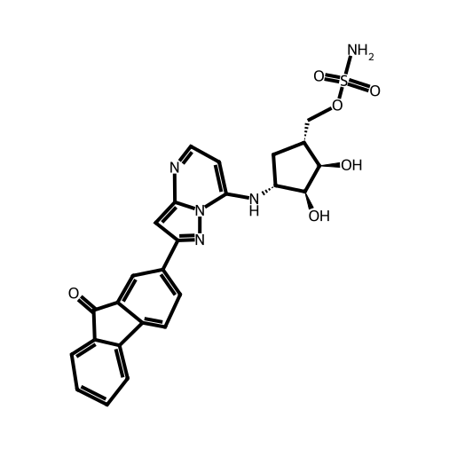 NS(=O)(=O)OC[C@H]1C[C@@H](Nc2ccnc3cc(-c4ccc5c(c4)C(=O)c4ccccc4-5)nn23)[C@H](O)[C@@H]1O